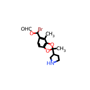 Cc1c(C(Br)OC=O)ccc2c1OC(C)(C1CCNC1)O2